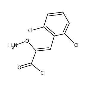 NOC(=Cc1c(Cl)cccc1Cl)C(=O)Cl